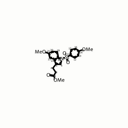 COC(=O)CCc1cn(S(=O)(=O)c2ccc(OC)cc2)c2ccc(OC)cc12